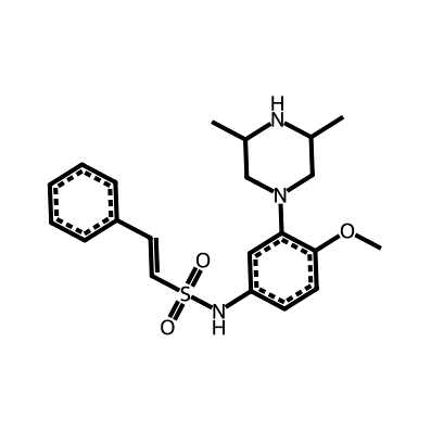 COc1ccc(NS(=O)(=O)C=Cc2ccccc2)cc1N1CC(C)NC(C)C1